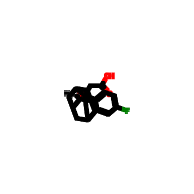 CC1(O)C2CC3CC1CC(C2)C3(CC(=O)O)c1ccc(F)cc1